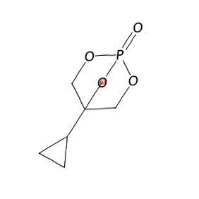 O=P12OCC(C3CC3)(CO1)CO2